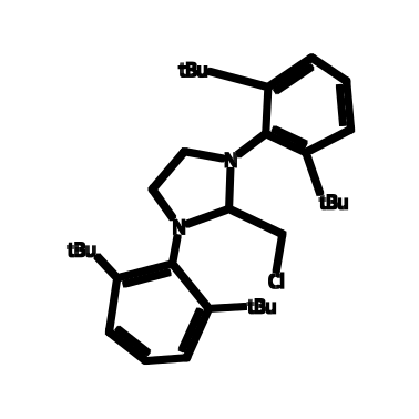 CC(C)(C)c1cccc(C(C)(C)C)c1N1CCN(c2c(C(C)(C)C)cccc2C(C)(C)C)C1CCl